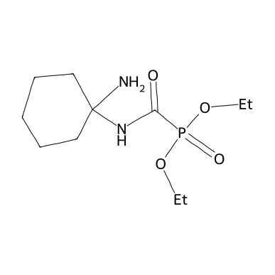 CCOP(=O)(OCC)C(=O)NC1(N)CCCCC1